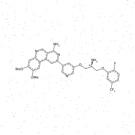 COc1cc2ncc3c(N)nc(-c4cncc(OC[C@@H](N)COc5cc(C(F)(F)F)ccc5F)c4)cc3c2cc1OC